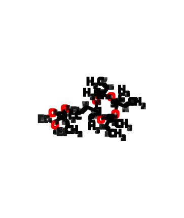 C=C[Si](OCC)(OCC)OCC.C=C[Si]1(C)O[Si](C)(C=C)O[Si](C)(C=C)O[Si](C)(C=C)O1